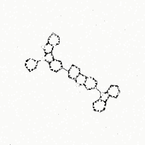 c1ccc(-n2c3ccc(-c4ccc5c(c4)oc4cc(-n6c7ccccc7c7ccccc76)ccc45)cc3c3c4ccccc4oc32)cc1